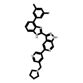 Cc1cc(F)cc(-c2cccc3[nH]c(-c4n[nH]c5cnc(-c6cncc(CN7CCCC7)c6)cc45)nc23)c1